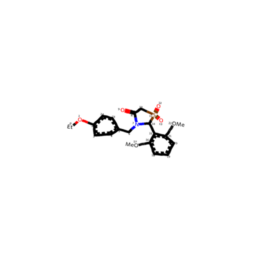 CCOc1ccc(CN2C(=O)CS(=O)(=O)C2c2c(OC)cccc2OC)cc1